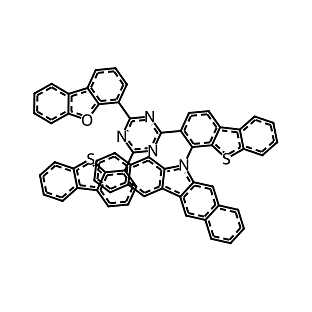 c1ccc2cc3c(cc2c1)c1cc2ccccc2cc1n3-c1c(-c2nc(-c3cccc4c3oc3ccccc34)nc(-c3cccc4c3sc3ccccc34)n2)ccc2c1sc1ccccc12